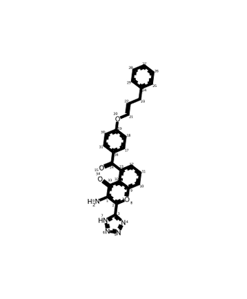 Nc1c(-c2nnn[nH]2)oc2cccc(C(=O)c3ccc(OC=CCc4ccccc4)cc3)c2c1=O